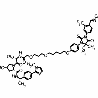 C/N=C/c1ccc(N2C(=O)C(C)(C)N(c3ccc(OCCCCCOCCCOCC(=O)N[C@H](C(=O)N4C[C@H](O)C[C@H]4C(=O)N[C@@H](C)c4ccc(-c5nccn5C)cc4)C(C)(C)C)cc3)C2=S)cc1C(F)(F)F